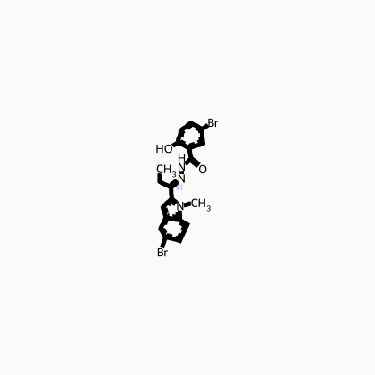 CC/C(=N\NC(=O)c1cc(Br)ccc1O)c1cc2cc(Br)ccc2n1C